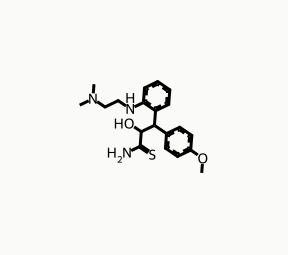 COc1ccc(C(c2ccccc2NCCN(C)C)C(O)C(N)=S)cc1